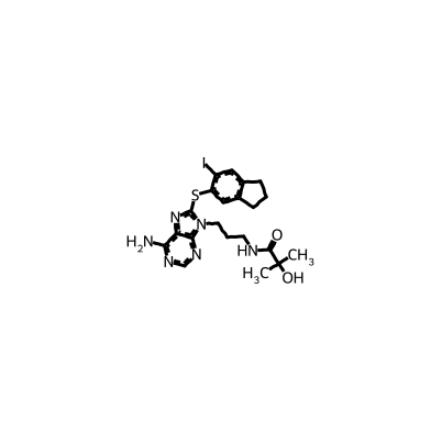 CC(C)(O)C(=O)NCCCn1c(Sc2cc3c(cc2I)CCC3)nc2c(N)ncnc21